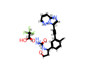 Cc1ccc(C2CCON2C(N)=O)cc1C#Cc1cnc2cccnn12.O=C(O)C(F)(F)F